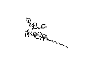 C=C(C)C(=O)OCC1COC(=O)O1.C=C(C)C(=O)OCCCCCCCCCCCC.C=C(CC=Cc1ccccc1)C(=O)OCCOCC